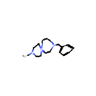 CN1CC[N+]2(CC1)CCN(Cc1ccccc1)CC2